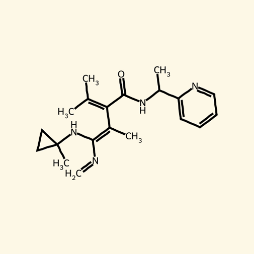 C=N/C(NC1(C)CC1)=C(\C)C(C(=O)NC(C)c1ccccn1)=C(C)C